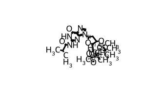 CC(C)C(=O)Nc1nc2c(ncn2[C@H]2CC(O[Si](C)(C)C(C)(C)C)[C@@H](CO[P@](C)(=O)N(C)C)O2)c(=O)[nH]1